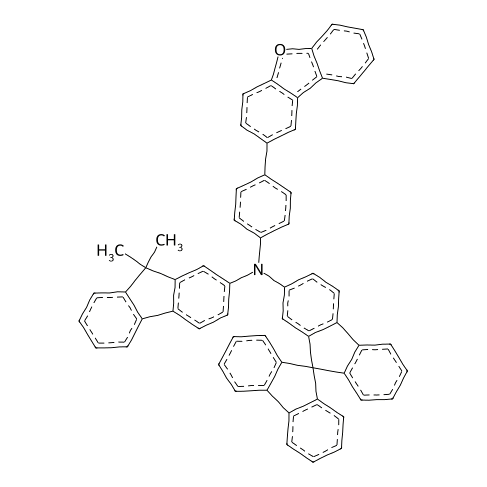 CC1(C)c2ccccc2-c2ccc(N(c3ccc(-c4ccc5oc6ccccc6c5c4)cc3)c3ccc4c(c3)C3(c5ccccc5-c5ccccc53)c3ccccc3-4)cc21